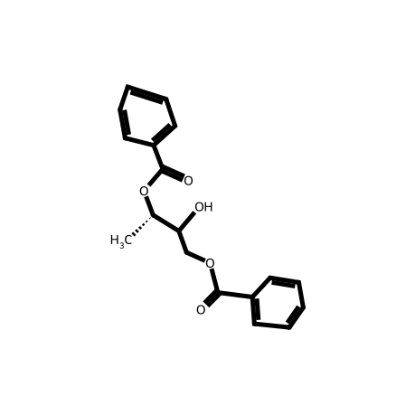 C[C@H](OC(=O)c1ccccc1)C(O)COC(=O)c1ccccc1